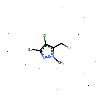 CCc1nn(C)c(CCl)c1Cl